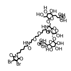 O=C(CCCCCN1C(=O)C(Br)=C(Br)C1=O)NCCOCCOCCC(=O)N[C@@H](CO[C@H]1OC(CCP(=O)(O)O)[C@@H](O)C(O)C1CO)C(=O)N[C@@H](COC1OC(CCP(=O)(O)O)C(O)C(O)C1O)C(=O)O